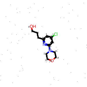 OCCCc1cc(Cl)cc(N2CCOCC2)n1